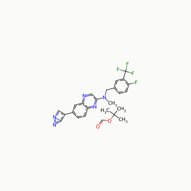 CC(C)(C)OC=O.CN(Cc1ccc(F)c(C(F)(F)F)c1)c1cnc2cc(-c3cn4nc3-4)ccc2n1